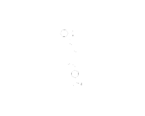 CS(=O)(=O)c1ccccc1S(=O)(=O)N1CCN(CC2CN(c3ccc(C(=N)N)cc3)C(=O)O2)CC1